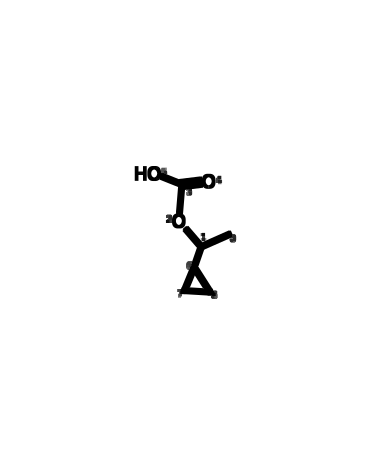 CC(OC(=O)O)C1CC1